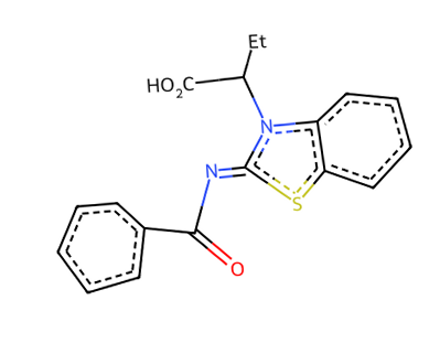 CCC(C(=O)O)n1c(=NC(=O)c2ccccc2)sc2ccccc21